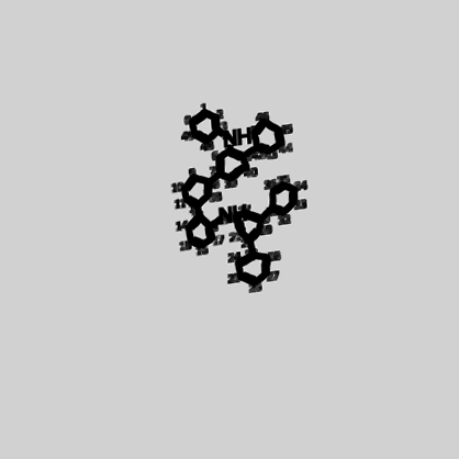 c1ccc(Nc2cc(-c3cccc(-c4ccccc4Nc4cc(-c5ccccc5)cc(-c5ccccc5)c4)c3)ccc2-c2ccccc2)cc1